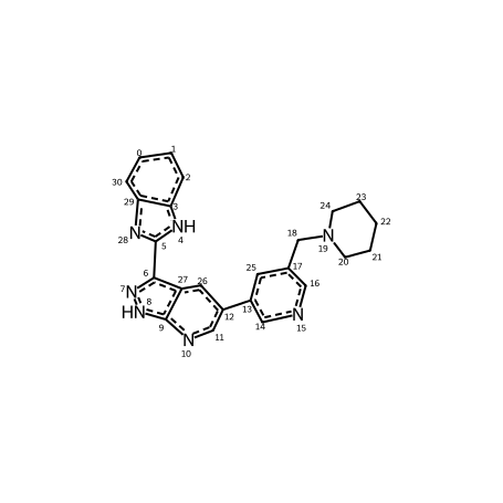 c1ccc2[nH]c(-c3n[nH]c4ncc(-c5cncc(CN6CCCCC6)c5)cc34)nc2c1